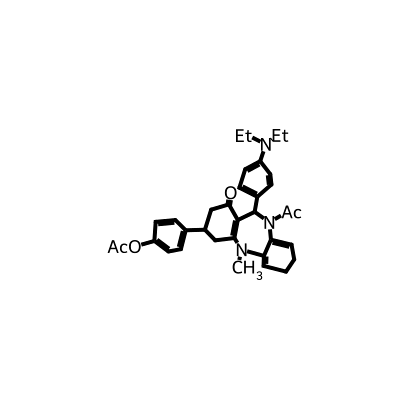 CCN(CC)c1ccc(C2C3=C(CC(c4ccc(OC(C)=O)cc4)CC3=O)N(C)C3=CCCC=C3N2C(C)=O)cc1